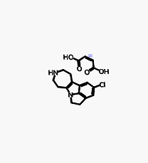 Clc1cc2c3c(c1)c1c(n3CC2)CCNCC1.O=C(O)/C=C\C(=O)O